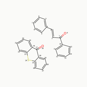 O=C(C=Cc1ccccc1)c1ccccc1.O=c1c2ccccc2sc2ccccc12